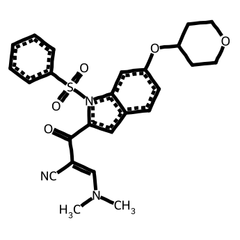 CN(C)C=C(C#N)C(=O)c1cc2ccc(OC3CCOCC3)cc2n1S(=O)(=O)c1ccccc1